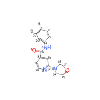 Cc1ccc(NC(=O)c2ccnc(N3CCOCC3)c2)cc1C